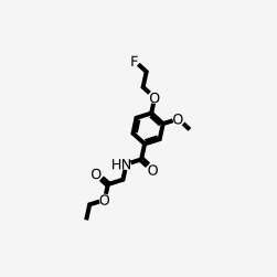 CCOC(=O)CNC(=O)c1ccc(OCCF)c(OC)c1